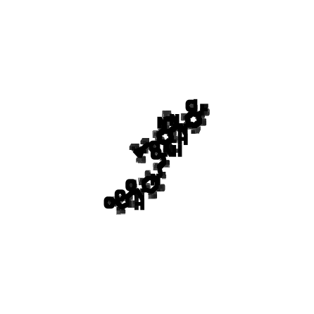 O=C(/C=C/CN1CCC(NC(=O)C2CCC(=O)O2)CC1)Nc1cc2c(Nc3ccc(F)c(Cl)c3)ncnc2cc1OCC1CC1